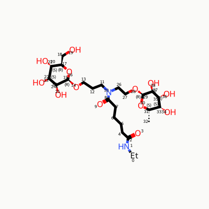 CCNC(=O)CCCCC(=O)N(CCCO[C@@H]1O[C@H](CO)[C@@H](O)[C@H](O)[C@@H]1O)CCO[C@@H]1O[C@@H](C)[C@@H](O)[C@@H](O)[C@@H]1O